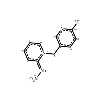 O=[N+]([O-])N=c1ccccn1Cc1ccc(Cl)nc1